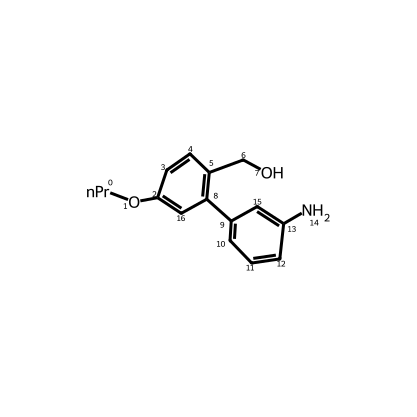 CCCOc1ccc(CO)c(-c2cccc(N)c2)c1